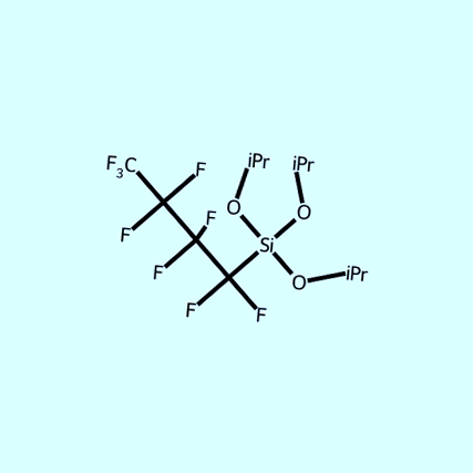 CC(C)O[Si](OC(C)C)(OC(C)C)C(F)(F)C(F)(F)C(F)(F)C(F)(F)F